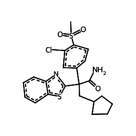 CS(=O)(=O)c1ccc(C(CC2CCCC2)(C(N)=O)c2nc3ccccc3s2)cc1Cl